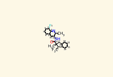 Cc1nc2c(F)cccc2cc1NC(=O)C(C)(Cc1ccccc1)CC(F)(F)F